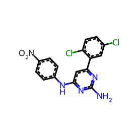 Nc1nc(Nc2ccc([N+](=O)[O-])cc2)cc(-c2cc(Cl)ccc2Cl)n1